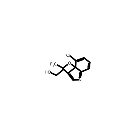 OCCC1=CN=C2C=CC=C(Cl)C12OCC(F)(F)F